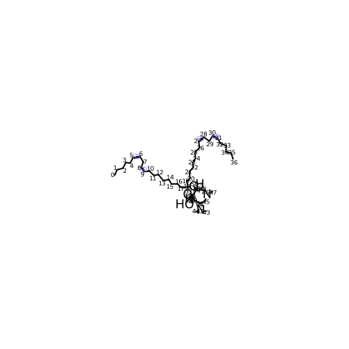 CCCCC/C=C\C/C=C\CCCCCCCCC1(CCCCCCCC/C=C\C/C=C\CCCCC)O[C@H]2[C@H](O)[C@@H](N(C)C)CN(C)C[C@H]2O1